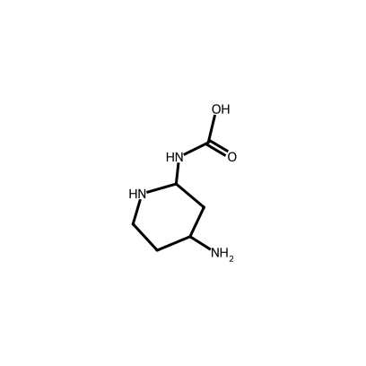 NC1CCNC(NC(=O)O)C1